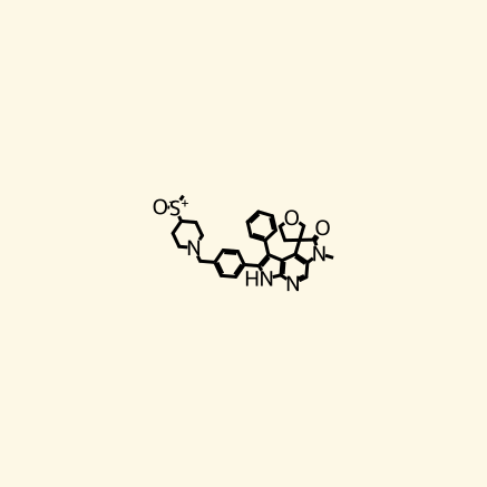 CN1C(=O)C2(CCOC2)c2c1cnc1[nH]c(-c3ccc(CN4CCC([S+](C)[O-])CC4)cc3)c(-c3ccccc3)c21